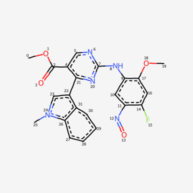 COC(=O)c1cnc(Nc2cc(N=O)c(F)cc2OC)nc1-c1cn(C)c2ccccc12